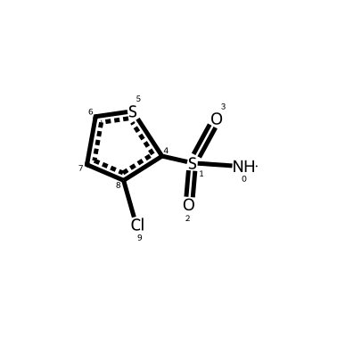 [NH]S(=O)(=O)c1sccc1Cl